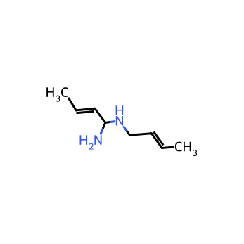 CC=CCNC(N)C=CC